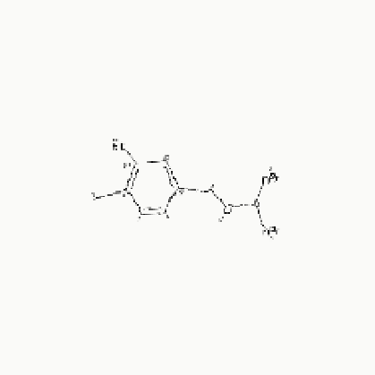 CCCC(CCC)OCc1ccc(C)c(CC)c1